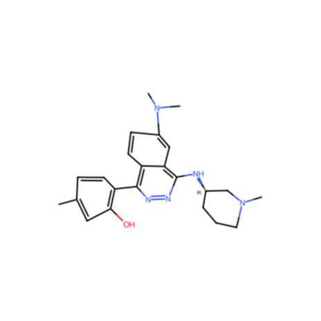 Cc1ccc(-c2nnc(N[C@@H]3CCCN(C)C3)c3cc(N(C)C)ccc23)c(O)c1